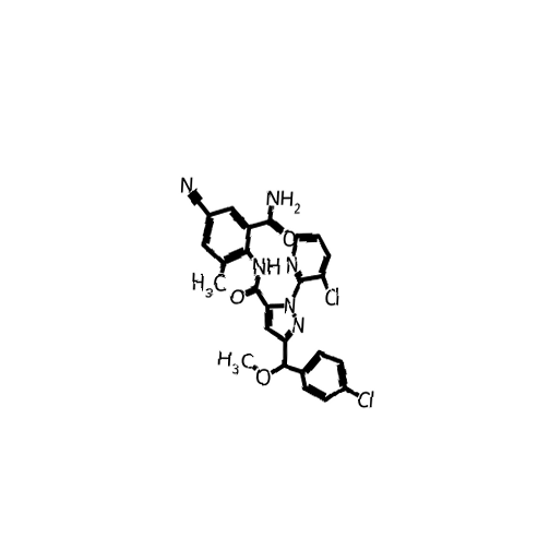 COC(c1ccc(Cl)cc1)c1cc(C(=O)Nc2c(C)cc(C#N)cc2C(N)=O)n(-c2ncccc2Cl)n1